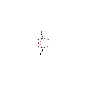 C1C[C@H]2CC[C@@H]1O2